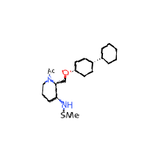 CSN[C@H]1CCCN(C(C)=O)[C@H]1CO[C@H]1CC[C@@H](C2CCCCC2)CC1